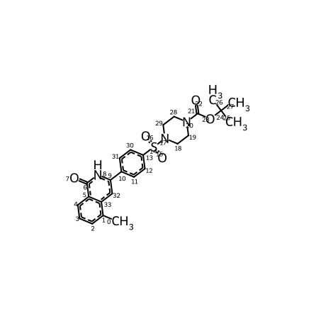 Cc1cccc2c(=O)[nH]c(-c3ccc(S(=O)(=O)N4CCN(C(=O)OC(C)(C)C)CC4)cc3)cc12